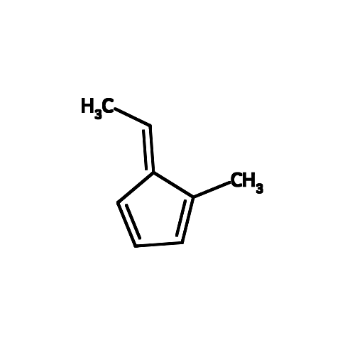 CC=C1C=CC=C1C